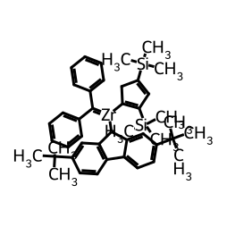 CC(C)(C)c1ccc2c(c1)[CH]([Zr]([C]1=C([Si](C)(C)C)C=C([Si](C)(C)C)C1)=[C](c1ccccc1)c1ccccc1)c1cc(C(C)(C)C)ccc1-2